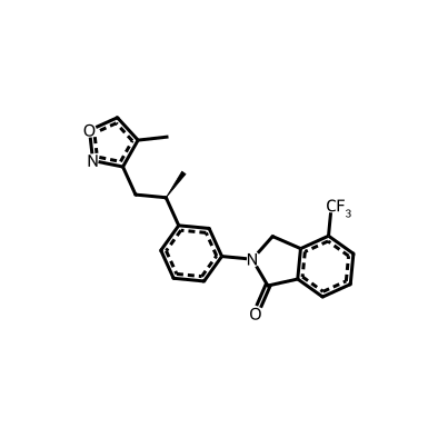 Cc1conc1C[C@@H](C)c1cccc(N2Cc3c(cccc3C(F)(F)F)C2=O)c1